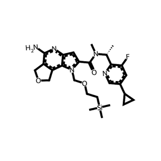 C[C@H](c1ncc(C2CC2)cc1F)N(C)C(=O)c1cc2nc(N)c3c(c2n1COCC[Si](C)(C)C)COC3